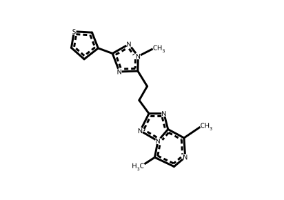 Cc1ncc(C)n2nc(CCc3nc(-c4ccsc4)nn3C)nc12